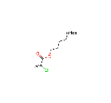 [CH2]CCCCCCCCCOC(=O)C(=C)Cl